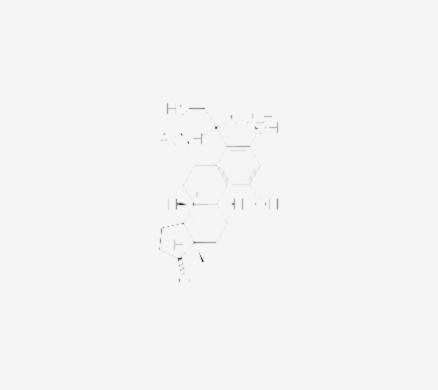 CC(=O)NC(CS)(C(=O)O)c1c(O)cc(O)c2c1CC[C@@H]1[C@@H]2CC[C@]2(C)C(=O)CC[C@@H]12